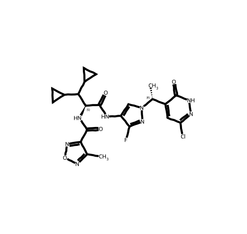 Cc1nonc1C(=O)N[C@H](C(=O)Nc1cn([C@H](C)c2cc(Cl)n[nH]c2=O)nc1F)C(C1CC1)C1CC1